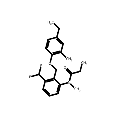 CCC(=O)N(C)c1cccc(C(F)F)c1COc1ccc(CC)cc1C